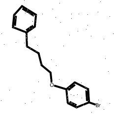 Brc1ccc(OCCCCc2ccccc2)cc1